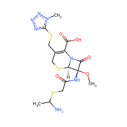 CO[C@@]1(NC(=O)CSC(C)N)C(=O)N2C(C(=O)O)=C(CSc3nnnn3C)CS[C@@H]21